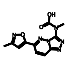 Cc1cc(-c2ccc3nnc(N(C)C(=O)O)n3n2)on1